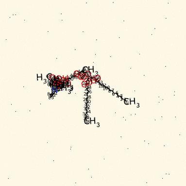 CCCCCCCCCCCCCCCC(=O)OCC(COC(=O)CCCCCCCCCCCCCCC)OC(=O)C(C)CC(=O)OCCCCC(=O)Oc1ccc2c3c1O[C@H]1[C@@]4(OC)CC[C@@]5(C[C@@H]4[C@](C)(O)C(C)(C)C)C(C2)N(CC2CC2)CC[C@]315